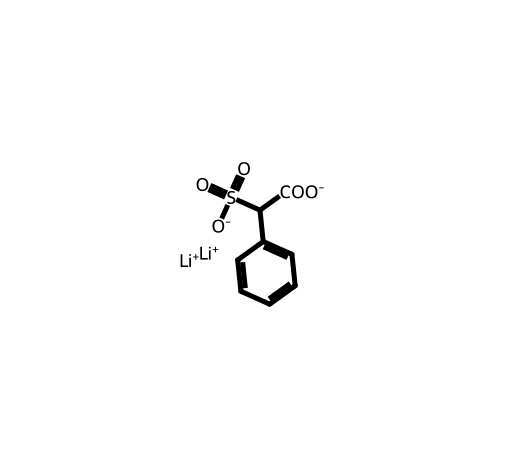 O=C([O-])C(c1ccccc1)S(=O)(=O)[O-].[Li+].[Li+]